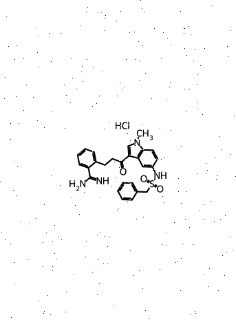 Cl.Cn1cc(C(=O)CCc2ccccc2C(=N)N)c2cc(NS(=O)(=O)Cc3ccccc3)ccc21